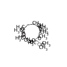 CO[C@H]1C[C@@H]2CC[C@@H](C)[C@](O)(CC(=O)N3CCCC[C@H]3C(=O)O[C@H]([C@H](C)C[C@@H]3CC[C@@H](C)[C@H](OC)C3)CC(=O)[C@H](C)/C=C(\C)[C@@H](C)[C@@H](OC)C(=O)[C@H](C)C[C@H](C)/C=C/C=C/C=C/1C)O2